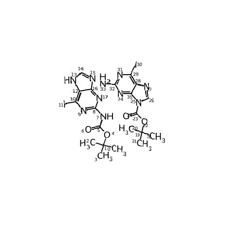 CC(C)(C)OC(=O)Nc1nc(I)c2[nH]cnc2n1.CC(C)(C)OC(=O)n1cnc2c(I)nc(N)nc21